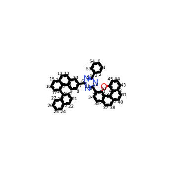 c1ccc(-c2nc(-c3ccc4c(ccc5cccc(-c6cccc7ccccc67)c54)c3)nc(-c3ccc4ccc5ccc6cccc7c6c5c4c3O7)n2)cc1